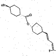 CCC[C@H]1CC[C@H](C(=O)O[C@H]2CC[C@H](C=CC=C(F)C#N)CC2)CC1